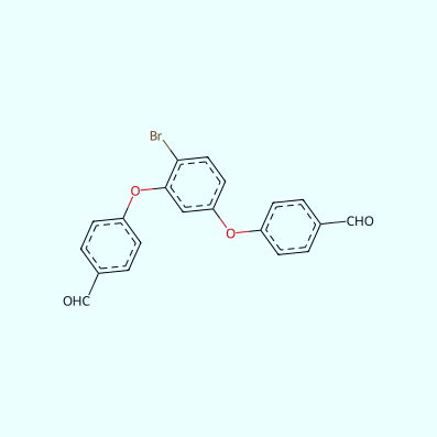 O=Cc1ccc(Oc2ccc(Br)c(Oc3ccc(C=O)cc3)c2)cc1